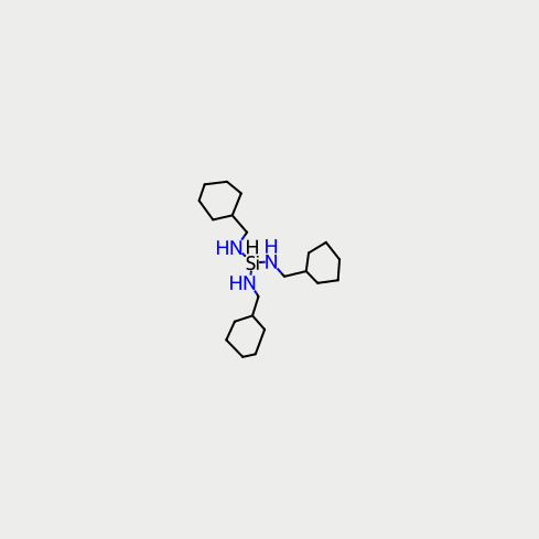 C1CCC(CN[SiH](NCC2CCCCC2)NCC2CCCCC2)CC1